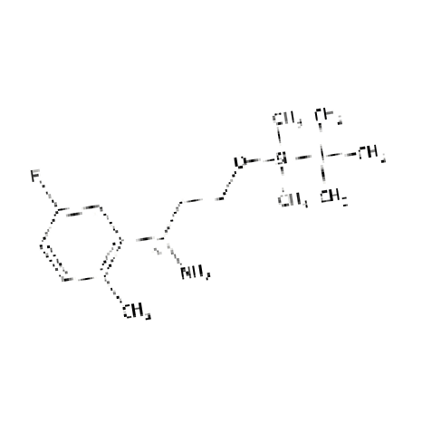 Cc1ccc(F)cc1[C@@H](N)CCO[Si](C)(C)C(C)(C)C